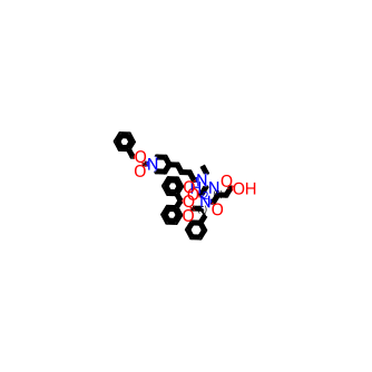 CCN(CC(=O)N(C(=O)[C@@H](N)CC(=O)O)[C@@H](CC1CCCCC1)C(=O)OC(c1ccccc1)c1ccccc1)C(=O)CCCC1CCN(C(=O)OCc2ccccc2)CC1